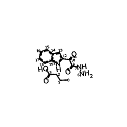 CCCC(=O)O.NNC(=O)C(=O)c1cc2ccccc2[nH]1